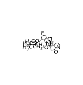 CC(C)(C)[Si](C)(C)OCc1cc(F)cc(Cl)c1CNC(=O)[C@]1(F)CCC(=O)c2ncccc21